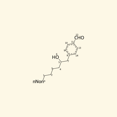 CCCCCCCCCCCCCC(O)Cc1ccc(C=O)cc1